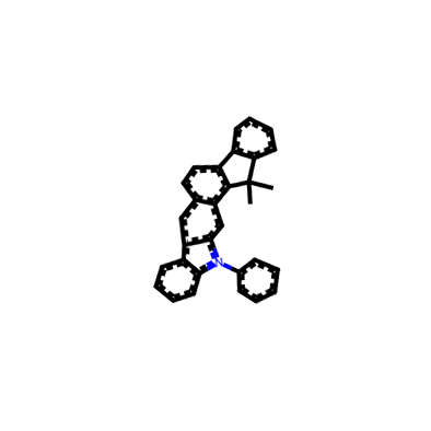 CC1(C)c2ccccc2-c2ccc3cc4c5ccccc5n(-c5ccccc5)c4cc3c21